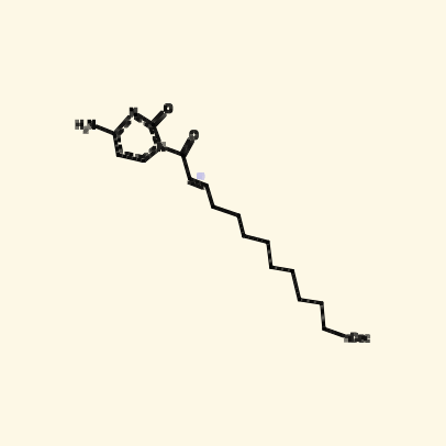 CCCCCCCCCCCCCCCCCCC/C=C/C(=O)n1ccc(N)nc1=O